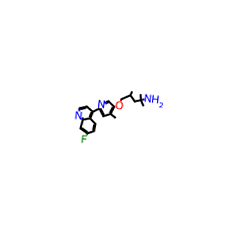 Cc1cc(-c2ccnc3cc(F)ccc23)ncc1OCC(C)CC(C)(C)N